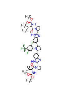 COC(=O)N[C@H](C(=O)N1CCC[C@H]1c1nc2cc([C@H]3CC[C@@H](c4ccc5[nH]c([C@@H]6CCCN6C(=O)[C@@H](NC(=O)OC)C(C)C)nc5c4)N3c3cc(F)c(C(F)(F)F)cc3F)ccc2[nH]1)C(C)C